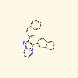 c1ccc2cc(-c3nc4ccccn4c3-c3ccc4ccccc4c3)ccc2c1